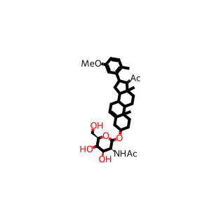 COc1ccc(C)c(C2CC3C4CC=C5CC(OC6O[C@H](CO)C(O)[C@H](O)[C@H]6NC(C)=O)CCC5(C)C4CCC3(C)C2C(C)=O)c1